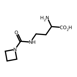 NC(CCNC(=O)N1CCC1)C(=O)O